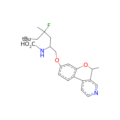 CC1Oc2cc(OCC(CC(C)(F)CC(C)(C)C)NC(=O)O)ccc2-c2ccncc21